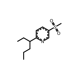 CCCC(CC)c1ccc(S(C)(=O)=O)cn1